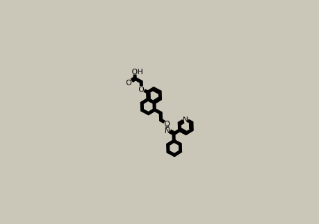 O=C(O)COc1cccc2c1CCCC2CCON=C(c1cccnc1)C1CCCCC1